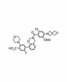 COc1cc(C(=O)N2COc3c(cccc3-c3cc(N4CCOCC4)c(C(=O)O)cc3F)C2)c(Cl)cc1N1CC2(COC2)C1